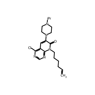 C=CCCCCn1c(=O)c(N2CCN(C(C)C)CC2)cc2c(Cl)ncnc21